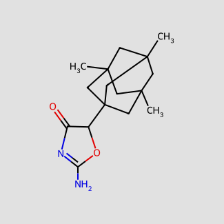 CC12CC3(C)CC(C)(C1)CC(C1OC(N)=NC1=O)(C2)C3